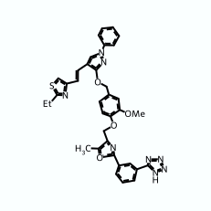 CCc1nc(/C=C/c2cn(-c3ccccc3)nc2OCc2ccc(OCc3nc(-c4cccc(-c5nnn[nH]5)c4)oc3C)c(OC)c2)cs1